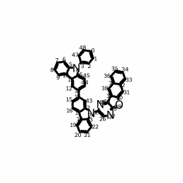 c1ccc(-n2c3ccccc3c3cc(-c4ccc5c6ccccc6n(-c6cnc7oc8cc9ccccc9cc8c7n6)c5c4)ccc32)cc1